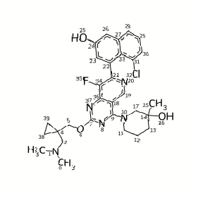 CN(C)CC1(COc2nc(N3CCCC(C)(O)C3)c3cnc(-c4cc(O)cc5cccc(Cl)c45)c(F)c3n2)CC1